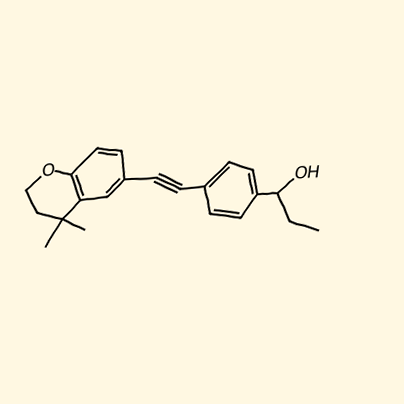 CCC(O)c1ccc(C#Cc2ccc3c(c2)C(C)(C)CCO3)cc1